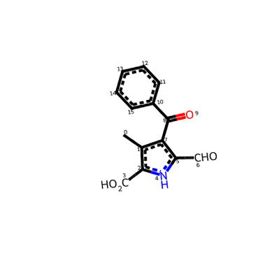 Cc1c(C(=O)O)[nH]c(C=O)c1C(=O)c1ccccc1